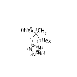 CCCCCCC(C)(CCCCCC)Cc1nn[nH]n1